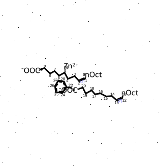 CCCCCCCC/C=C\CCCCCCCC(=O)[O-].CCCCCCCC/C=C\CCCCCCCC(=O)[O-].Cc1ccccc1.[Zn+2]